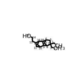 CCC1(CO)CC2CC1C1C3CC(CCO)C(C3)C21